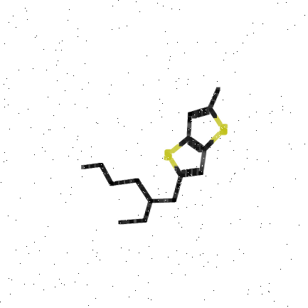 CCCCC(CC)Cc1cc2sc(C)cc2s1